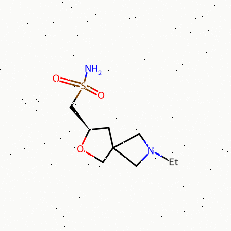 CCN1CC2(CO[C@@H](CS(N)(=O)=O)C2)C1